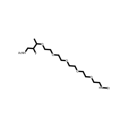 CCNCCOCCOCCOCCOCCOC(C)C(F)CNC(C)=O